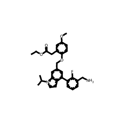 CCOC(=O)Cc1cc(OC)ccc1OCc1cc(-c2cccc(CN)c2F)c2ccn(C(C)C)c2c1